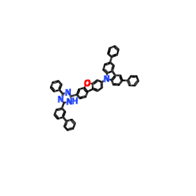 c1ccc(C2=NC(c3cccc(-c4ccccc4)c3)NC(c3ccc4c(c3)oc3cc(-n5c6ccc(-c7ccccc7)cc6c6cc(-c7ccccc7)ccc65)ccc34)=N2)cc1